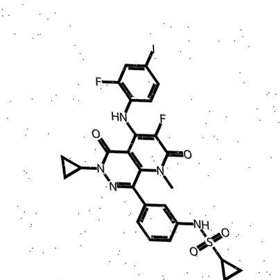 Cn1c(=O)c(F)c(Nc2ccc(I)cc2F)c2c(=O)n(C3CC3)nc(-c3cccc(NS(=O)(=O)C4CC4)c3)c21